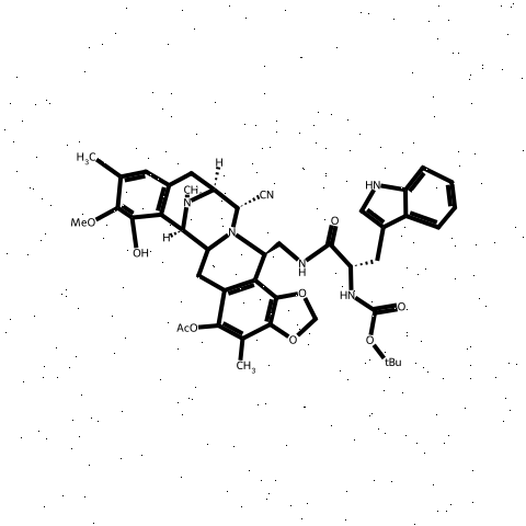 COc1c(C)cc2c(c1O)[C@@H]1C3Cc4c(OC(C)=O)c(C)c5c(c4[C@H](CNC(=O)[C@H](Cc4c[nH]c6ccccc46)NC(=O)OC(C)(C)C)N3[C@@H](C#N)[C@H](C2)N1C)OCO5